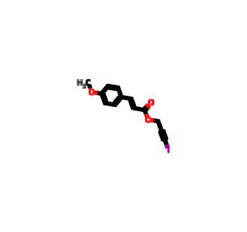 COc1ccc(/C=C/C(=O)OCC#CI)cc1